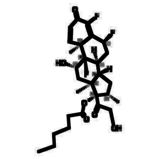 CCCCCC(=O)O[C@@]1(C(=O)CO)[C@@H](C)C[C@H]2[C@@H]3C[C@H](F)C4=C(F)C(=O)C=C[C@]4(C)[C@@]3(F)[C@@H](O)C[C@@]21C